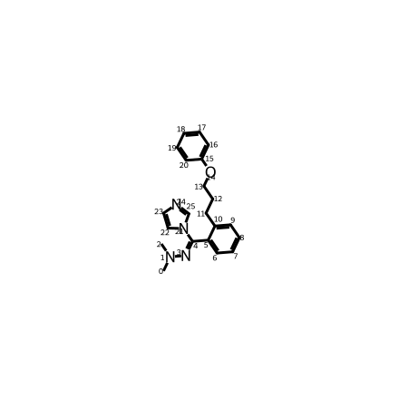 CN(C)/N=C(/c1ccccc1CCCOc1ccccc1)n1ccnc1